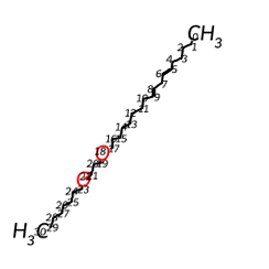 CCCCCC=CCC=CCCCCCCCCOCCCOCCCCCCCC